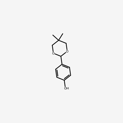 CC1(C)COC(c2ccc(O)cc2)OC1